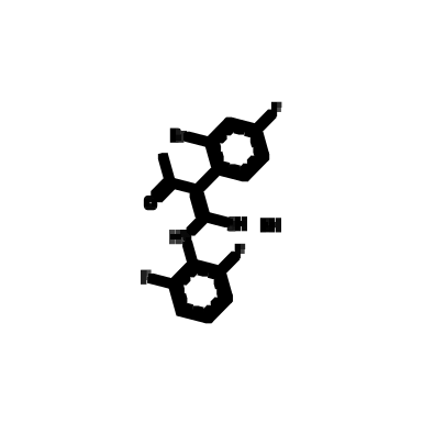 CC(=O)C(=C(S)Nc1c(F)cccc1F)c1ccc(F)cc1Br.[KH]